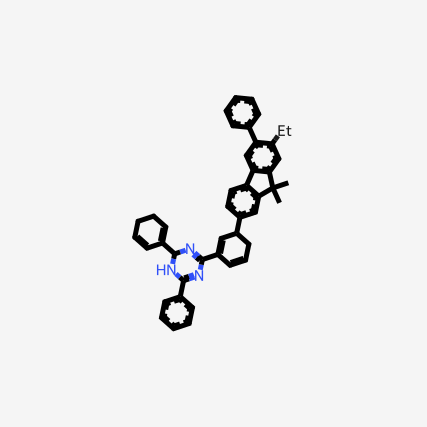 CCc1cc2c(cc1-c1ccccc1)-c1ccc(C3C=C(C4=NC(C5=CCCC=C5)NC(c5ccccc5)=N4)C=CC3)cc1C2(C)C